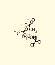 CC(=O)O.CC(C)=O.CO.ClC(Cl)Cl.O